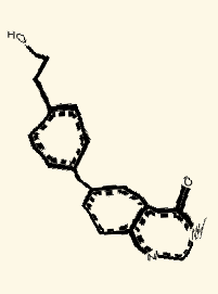 O=c1[nH]cnc2ccc(-c3ccc(CCO)cc3)cc12